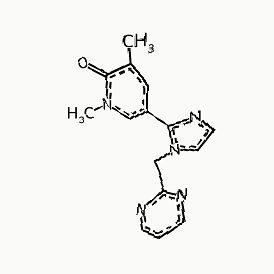 Cc1cc(-c2nccn2Cc2ncccn2)cn(C)c1=O